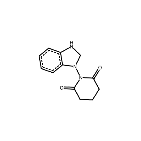 O=C1CCCC(=O)N1N1CNc2ccccc21